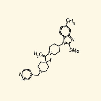 C=C(N1CCC(n2c(SC)nc3cc(C)ccc32)CC1)C1(F)CCN(Cc2ccnnc2)CC1